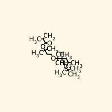 C=C(C)C(=O)OC(C)(C)CCOC(C)(C)C(C)(C)CC(C)OC(C)(C)C